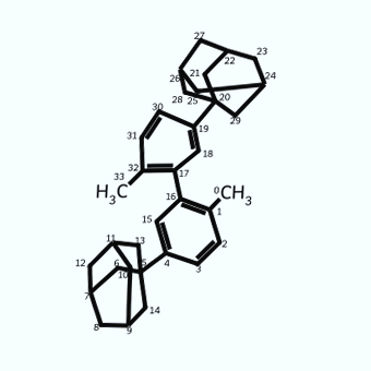 Cc1ccc(C23CC4CC(CC(C4)C2)C3)cc1-c1cc(C23CC4CC(CC(C4)C2)C3)ccc1C